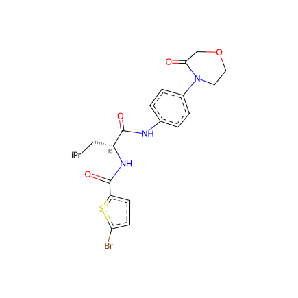 CC(C)C[C@@H](NC(=O)c1ccc(Br)s1)C(=O)Nc1ccc(N2CCOCC2=O)cc1